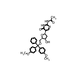 COc1ccc(C(OC[C@H]2O[C@@H](c3cnc(NC(C)=O)[nH]c3=O)C[C@H]2O)(c2ccccc2)c2ccc(OC)cc2)cc1